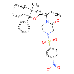 C=C[C@H](CO[Si](c1ccccc1)(c1ccccc1)C(C)(C)C)N1CCN(S(=O)(=O)c2ccc([N+](=O)[O-])cc2)CC1=O